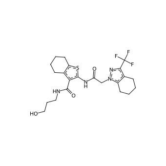 O=C(Cn1nc(C(F)(F)F)c2c1CCCC2)Nc1sc2c(c1C(=O)NCCCO)CCCC2